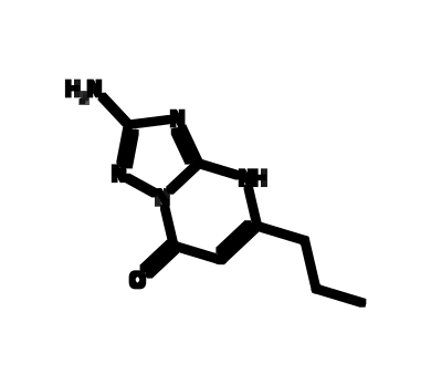 CCCc1cc(=O)n2nc(N)nc2[nH]1